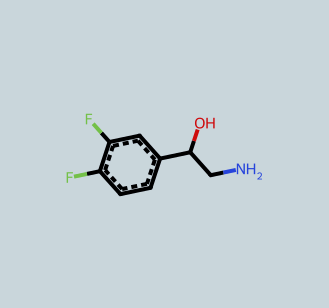 NCC(O)c1ccc(F)c(F)c1